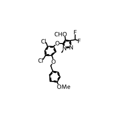 COc1ccc(COc2cc(Oc3c(C=O)c(C(F)F)nn3C)c(Cl)cc2Cl)cc1